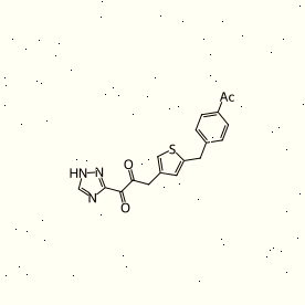 CC(=O)c1ccc(Cc2cc(CC(=O)C(=O)c3nc[nH]n3)cs2)cc1